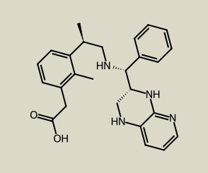 Cc1c(CC(=O)O)cccc1[C@@H](C)CN[C@H](c1ccccc1)[C@H]1CNc2cccnc2N1